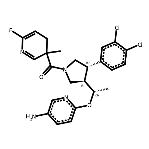 C[C@H](Oc1ccc(N)cn1)[C@H]1CN(C(=O)C2(C)C=NC(F)=CC2)C[C@@H]1c1ccc(Cl)c(Cl)c1